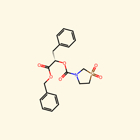 O=C(OCc1ccccc1)[C@H](Cc1ccccc1)OC(=O)N1CCS(=O)(=O)C1